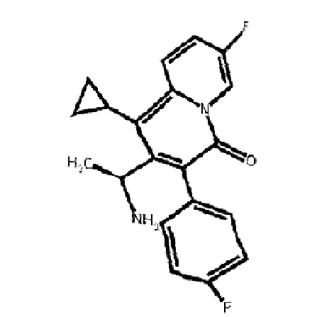 C[C@H](N)c1c(-c2ccc(F)cc2)c(=O)n2cc(F)ccc2c1C1CC1